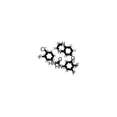 O=C(Nc1ccc(Cl)c(F)c1)Nc1cc(F)c(F)c(Oc2ccc3nccnc3c2)c1